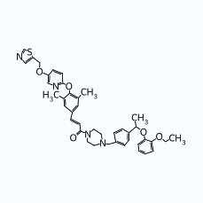 CCOc1ccccc1OC(C)c1ccc(CN2CCN(C(=O)C=Cc3cc(C)c(Oc4ccc(OCc5cncs5)cn4)c(C)c3)CC2)cc1